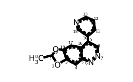 CC1Oc2cc3nncc(-c4cccnc4)c3cc2O1